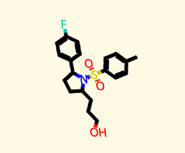 Cc1ccc(S(=O)(=O)N2C(CCCO)CCC2c2ccc(F)cc2)cc1